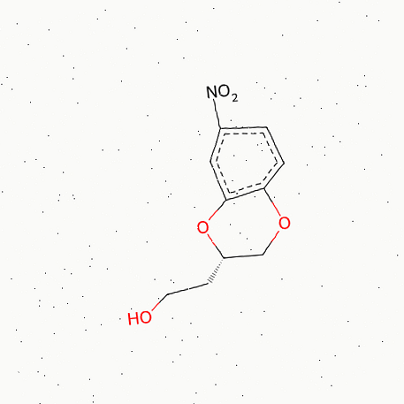 O=[N+]([O-])c1ccc2c(c1)O[C@@H](CCO)CO2